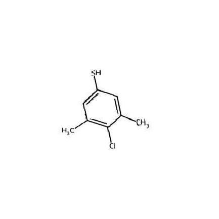 Cc1cc(S)cc(C)c1Cl